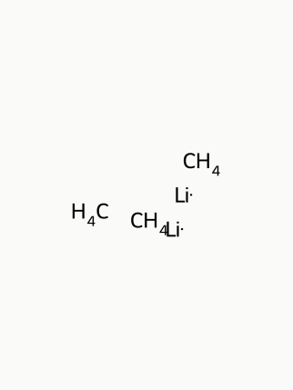 C.C.C.[Li].[Li]